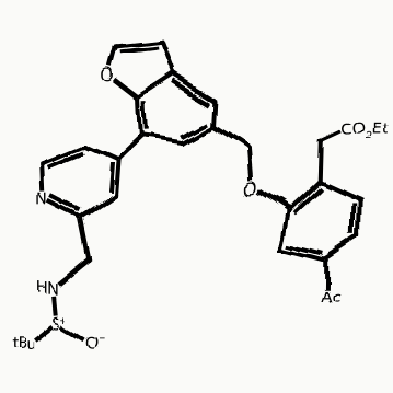 CCOC(=O)Cc1ccc(C(C)=O)cc1OCc1cc(-c2ccnc(CN[S+]([O-])C(C)(C)C)c2)c2occc2c1